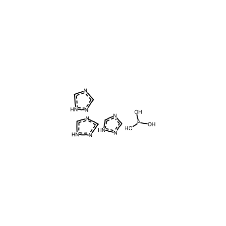 OP(O)O.c1nc[nH]n1.c1nc[nH]n1.c1nc[nH]n1